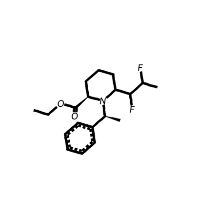 CCOC(=O)[C@H]1CCCC(C(F)C(C)F)N1[C@@H](C)c1ccccc1